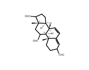 C[C@]12CCC(C=O)C=C1C=C[C@@H]1[C@@H]2C(C=O)C[C@]2(C)C(C=O)CC[C@@H]12